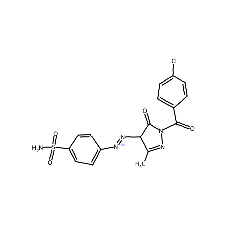 CC1=NN(C(=O)c2ccc(Cl)cc2)C(=O)C1/N=N/c1ccc(S(N)(=O)=O)cc1